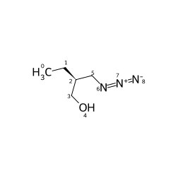 CC[C@H](CO)CN=[N+]=[N-]